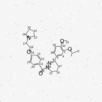 CCOc1cc(C2=NN(C(=O)c3ccc(OCCN4CCCC4)cc3)CCC2)ccc1OC